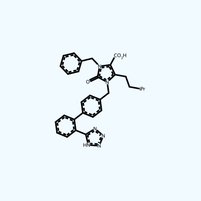 CC(C)CCc1c(C(=O)O)n(Cc2ccccc2)c(=O)n1Cc1ccc(-c2ccccc2-c2nnn[nH]2)cc1